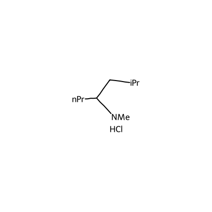 CCCC(CC(C)C)NC.Cl